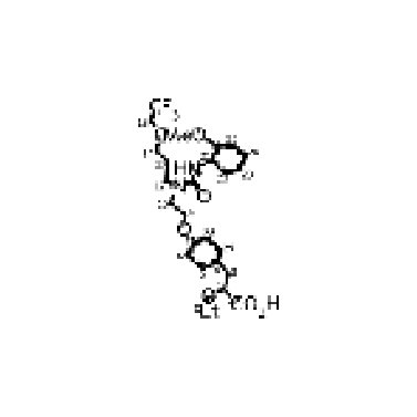 CCOC(Cc1ccc(OCCN(CCCOCC(F)(F)F)C(=O)Nc2ccccc2OC)cc1)C(=O)O